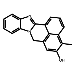 Cc1c(O)cc2c3c(cccc13)-c1nc3ccccc3n1C2